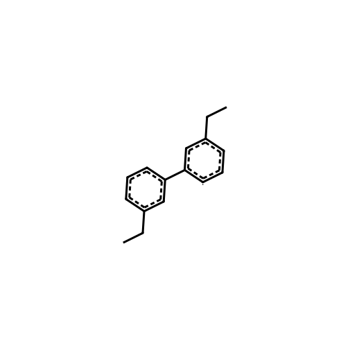 CCc1cc[c]c(-c2cccc(CC)c2)c1